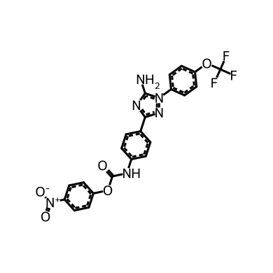 Nc1nc(-c2ccc(NC(=O)Oc3ccc([N+](=O)[O-])cc3)cc2)nn1-c1ccc(OC(F)(F)F)cc1